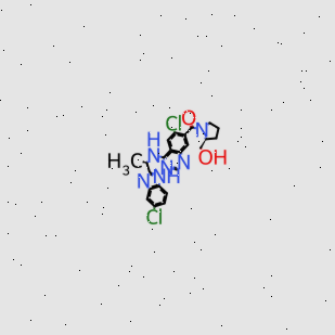 C[C@@H](Nc1ncnc2cc(C(=O)N3CCC[C@H]3CO)c(Cl)cc12)c1nc2cc(Cl)ccc2[nH]1